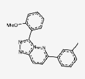 COc1ccccc1-c1nnc2ccc(-c3cccc(C)c3)nn12